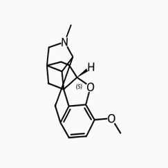 COc1ccc2c3c1O[C@H]1CCC45CN(C)C(C2)C4C31C5